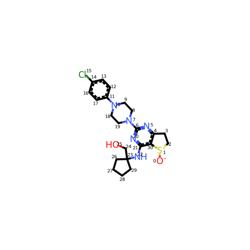 [O-][S+]1CCc2nc(N3CCN(c4ccc(Cl)cc4)CC3)nc(NC3(CO)CCCC3)c21